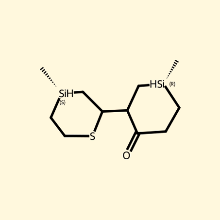 C[Si@@H]1CCC(=O)C(C2C[Si@@H](C)CCS2)C1